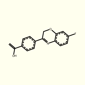 C=C(O)c1ccc(C2=Nc3ccc(F)cc3OC2)cc1